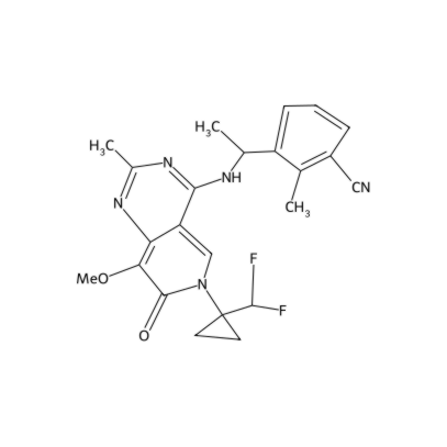 COc1c(=O)n(C2(C(F)F)CC2)cc2c(NC(C)c3cccc(C#N)c3C)nc(C)nc12